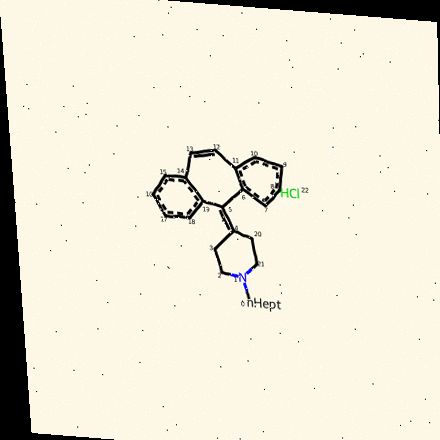 CCCCCCCN1CCC(=C2c3ccccc3C=Cc3ccccc32)CC1.Cl